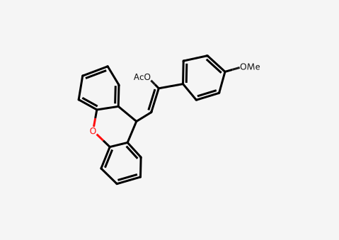 COc1ccc(C(=CC2c3ccccc3Oc3ccccc32)OC(C)=O)cc1